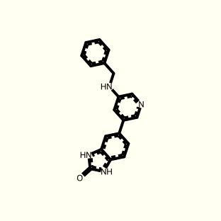 O=c1[nH]c2ccc(-c3cncc(NCc4ccccc4)c3)cc2[nH]1